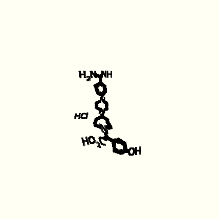 Cl.N=C(N)c1ccc(N2CCN(C3CCN(C(C(=O)O)c4ccc(O)cc4)CC3)CC2)cc1